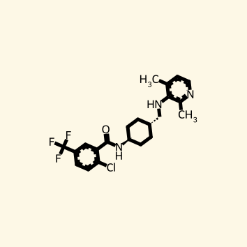 Cc1ccnc(C)c1NC[C@H]1CC[C@H](NC(=O)c2cc(C(F)(F)F)ccc2Cl)CC1